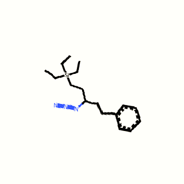 CC[Si](CC)(CC)CCC(CCc1ccccc1)N=[N+]=[N-]